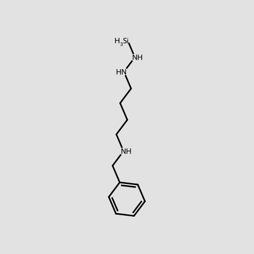 [SiH3]NNCCCCNCc1ccccc1